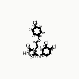 O=c1[nH]s/c(=N/c2ccc(Cl)c(Cl)c2)n1CCSc1ccc(Cl)cc1